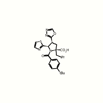 CC(C)C[C@@]1(C(=O)O)C[C@H](c2nnco2)[C@H](c2nccs2)N1C(=O)c1ccc(C(C)(C)C)cc1